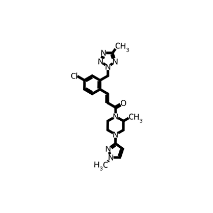 Cc1nnn(Cc2cc(Cl)ccc2/C=C/C(=O)N2CCN(c3ccn(C)n3)CC2C)n1